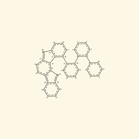 c1ccc(-c2ccccc2-c2ccccc2-c2cccc3c2-c2c4c(ccc2=N3)=c2ccccc2=N4)cc1